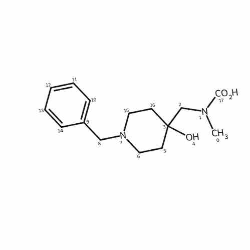 CN(CC1(O)CCN(Cc2ccccc2)CC1)C(=O)O